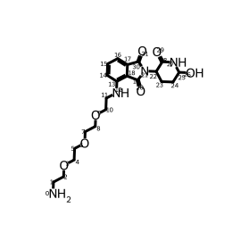 NCCOCCOCCOCCNc1cccc2c1C(=O)N(C1CCC(O)NC1=O)C2=O